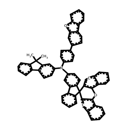 CC1(C)c2ccccc2-c2ccc(N(c3ccc(-c4ccc5c(c4)oc4ccccc45)cc3)c3ccc4c(c3)-c3ccccc3C43c4ccc5ccccc5c4Oc4c3ccc3ccccc43)cc21